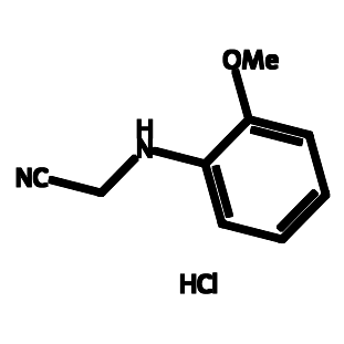 COc1ccccc1NCC#N.Cl